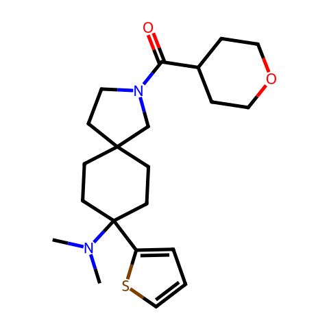 CN(C)C1(c2cccs2)CCC2(CCN(C(=O)C3CCOCC3)C2)CC1